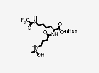 CCCCCCOC(=O)[C@H](CCCCNC(=O)C(F)(F)F)NC(=O)CCCNB(C)O